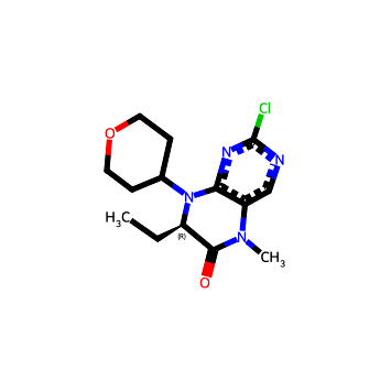 CC[C@@H]1C(=O)N(C)c2cnc(Cl)nc2N1C1CCOCC1